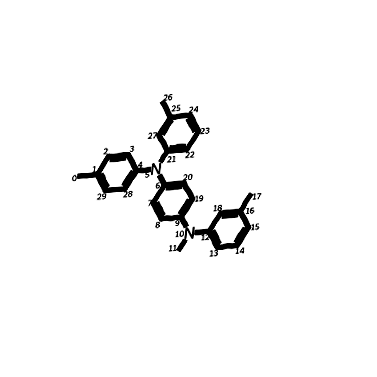 Cc1ccc(N(c2ccc(N(C)c3cccc(C)c3)cc2)c2cccc(C)c2)cc1